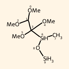 COC(OC)C(OC)(OC)[SiH](C)O[SiH3]